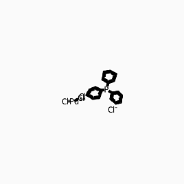 [Cl-].[Cl-].[Cl][Pd+2][Cl].c1ccc(P(c2ccccc2)c2ccccc2)cc1